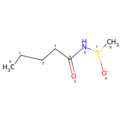 CCCCC(=O)N[S+](C)[O-]